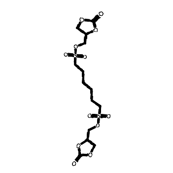 O=C1OCC(COS(=O)(=O)CCCCCCS(=O)(=O)OCC2COC(=O)O2)O1